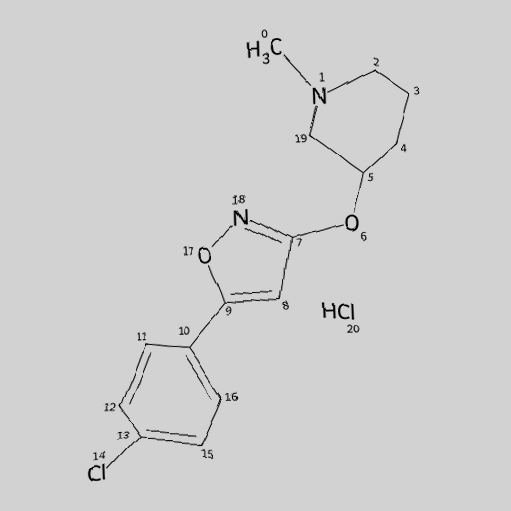 CN1CCCC(Oc2cc(-c3ccc(Cl)cc3)on2)C1.Cl